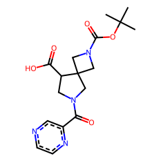 CC(C)(C)OC(=O)N1CC2(C1)CN(C(=O)c1cnccn1)CC2C(=O)O